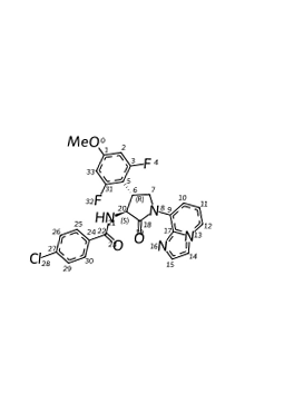 COc1cc(F)c([C@@H]2CN(c3cccn4ccnc34)C(=O)[C@H]2NC(=O)c2ccc(Cl)cc2)c(F)c1